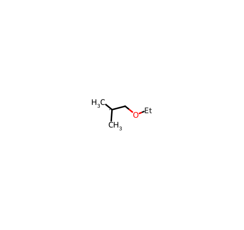 CCOC[C](C)C